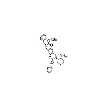 CC(C)(C)OC(=O)N(Cc1ccc(CN(C(=O)OCc2ccccc2)[C@@H]2CCCC[C@@H]2N)cc1)Cc1ccccn1